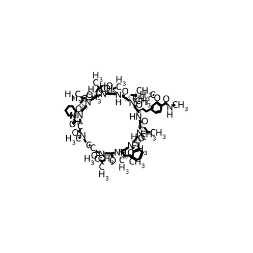 CC[C@H](C)[C@@H]1NC(=O)[C@H](CC(C)C)N(C)C(=O)CCCN(C)C(=O)C[C@@H](C(=O)N2CCCCC2)NC(=O)[C@H](CC(C)C)N(C)C(=O)[C@H](CC(C)C)N(C)C(=O)[C@H](C(C)O)NC(=O)[C@H](CC(C)C)N(C)C(=O)[C@@H](CCc2ccc(C(=O)NC)c(OC)c2)NC(=O)[C@H](CC(C)C)N(C)C(=O)[C@H](Cc2ccccc2)N(C)C1=O